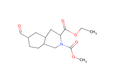 CCOC(=O)C1CC2CC(C=O)CCC2CN1C(=O)OC